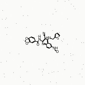 N#Cc1c(NC(=O)c2ccc3c(c2)OCO3)nc2ccc(NC=O)cc2c1NCc1cccs1